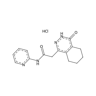 Cl.O=C(Cc1n[nH]c(=O)c2c1CCCC2)Nc1ccccn1